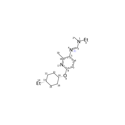 CCN(C)/C=N/c1ccc(O[C@H]2CC[C@@H](CC)CC2)nc1C